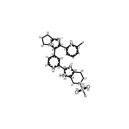 Cc1cccc(-c2nc3n(c2-c2ccnc(-c4nc5c([nH]4)CN(S(C)(=O)=O)CC5)c2)CCC3)n1